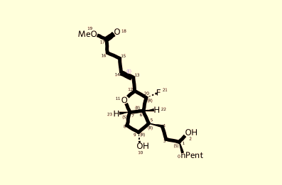 CCCCC[C@H](O)CC[C@@H]1[C@@H]2[C@H](C[C@H]1O)OC(/C=C/CCC(=O)OC)[C@@H]2F